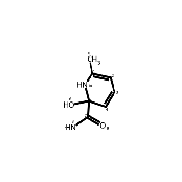 CC1=CC=CC(O)(C([NH])=O)N1